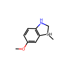 COc1ccc2c(c1)[SiH](C)CN2